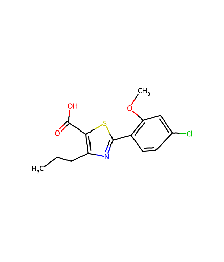 CCCc1nc(-c2ccc(Cl)cc2OC)sc1C(=O)O